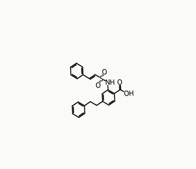 O=C(O)c1ccc(CCc2ccccc2)cc1NS(=O)(=O)C=Cc1ccccc1